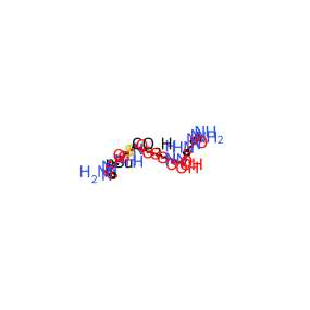 CCCCc1nc2c(N)nc3ccccc3c2n1CC(C)(C)CNC(=O)OCCSSC[C@H](NC(=O)CCOCCOCCOCCNC(=O)CCC(NC(=O)c1ccc(NCc2cnc3nc(N)[nH]c(=O)c3n2)cc1)C(O)O)C(=O)O